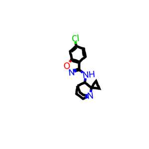 Clc1ccc2c(NC3C4CCN(CC4)C34CC4)noc2c1